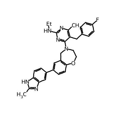 CCNc1nc(C)c(Cc2ccc(F)cc2)c(N2CCOc3ccc(-c4ccc5[nH]c(C)nc5c4)cc3C2)n1